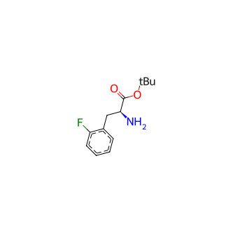 CC(C)(C)OC(=O)[C@@H](N)Cc1ccccc1F